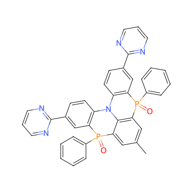 Cc1cc2c3c(c1)P(=O)(c1ccccc1)c1cc(-c4ncccn4)ccc1N3c1ccc(-c3ncccn3)cc1P2(=O)c1ccccc1